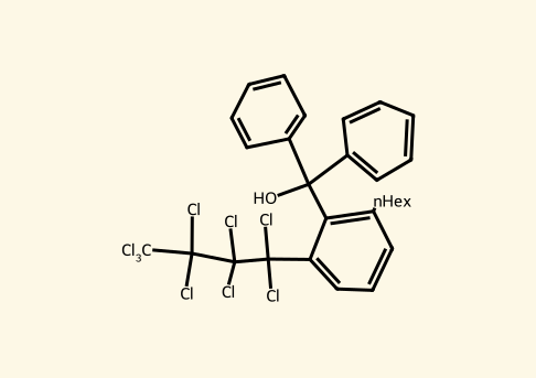 CCCCCCc1cccc(C(Cl)(Cl)C(Cl)(Cl)C(Cl)(Cl)C(Cl)(Cl)Cl)c1C(O)(c1ccccc1)c1ccccc1